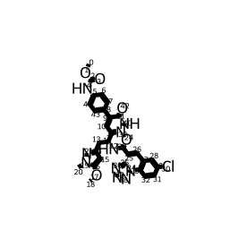 COC(=O)Nc1ccc(-c2cc(C(Cc3cc(OC)n(C)n3)NC(=O)C=Cc3cc(Cl)ccc3-n3cnnn3)n[nH]c2=O)cc1